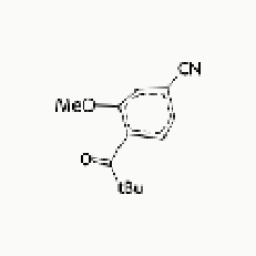 COc1cc(C#N)ccc1C(=O)C(C)(C)C